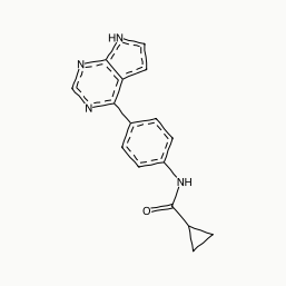 O=C(Nc1ccc(-c2ncnc3[nH]ccc23)cc1)C1CC1